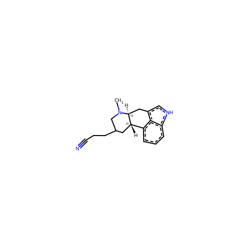 CN1CC(CCC#N)C[C@H]2c3cccc4[nH]cc(c34)C[C@@H]21